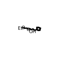 CCOCCOCC(O)CCc1ccccc1